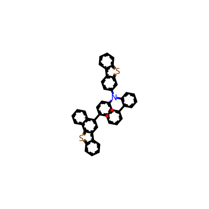 c1ccc(-c2ccccc2N(c2ccc(-c3cc4c5ccccc5sc4c4ccccc34)cc2)c2ccc3c(c2)sc2ccccc23)cc1